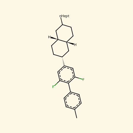 CCCCCCCC1CC[C@@H]2C[C@H](c3cc(F)c(-c4ccc(C)cc4)c(F)c3)CC[C@@H]2C1